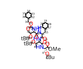 COC(=O)[C@H](COC(C)(C)C)NC(=O)[C@@H](NC(=O)[C@H](Cc1ccccc1)NC(=O)[C@@H](NC(=O)OCc1ccccc1)C(C)OC(C)(C)C)C(C)OC(C)(C)C